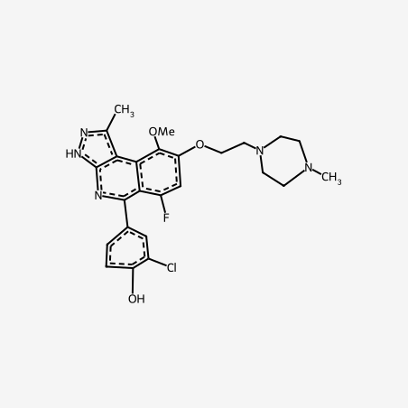 COc1c(OCCN2CCN(C)CC2)cc(F)c2c(-c3ccc(O)c(Cl)c3)nc3[nH]nc(C)c3c12